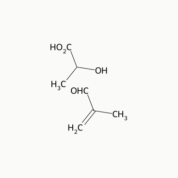 C=C(C)C=O.CC(O)C(=O)O